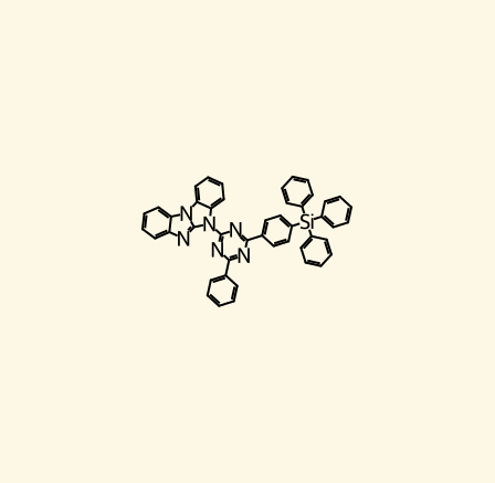 c1ccc(-c2nc(-c3ccc([Si](c4ccccc4)(c4ccccc4)c4ccccc4)cc3)nc(-n3c4ccccc4n4c5ccccc5nc34)n2)cc1